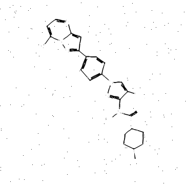 CCOC(=O)c1cn(-c2ccc(-c3cc4nccc(N)n4n3)cc2)nc1N(C(=O)[C@H]1CC[C@H](C)CC1)C(C)C